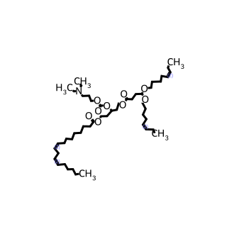 CC/C=C\CCCCOC(CCC(=O)OCCC(CCOC(=O)CCCCCCC/C=C\C/C=C\CCCCC)OC(=O)OCCCN(CC)CC)OCCCC/C=C\CC